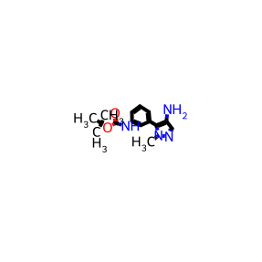 Cn1ncc(N)c1-c1cccc(NC(=O)OC(C)(C)C)c1